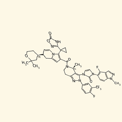 C[C@H]1c2c(nn(-c3ccc(F)c(C(F)(F)F)c3)c2-n2ccn(-c3ccc4c(cnn4C)c3F)c2=O)CCN1C(=O)c1cc2n(c1C1(c3noc(=O)[nH]3)CC1)C=CC([C@@H]1CCOC(C)(C)C1)C2